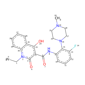 CC(C)Cn1c(=O)c(C(=O)Nc2cccc(F)c2N2CCN(C)CC2)c(O)c2ccccc21